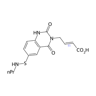 CCCNSc1ccc2[nH]c(=O)n(C/C=C/C(=O)O)c(=O)c2c1